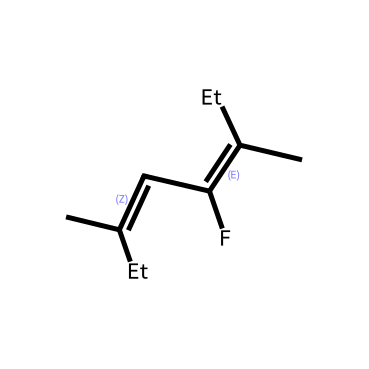 CC/C(C)=C\C(F)=C(\C)CC